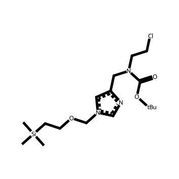 CC(C)(C)OC(=O)N(CCCl)Cc1cn(COCC[Si](C)(C)C)cn1